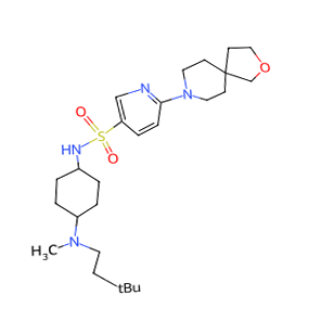 CN(CCC(C)(C)C)C1CCC(NS(=O)(=O)c2ccc(N3CCC4(CCOC4)CC3)nc2)CC1